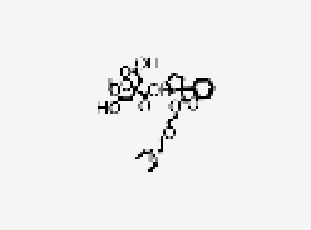 CCN(CC)CCOCCOC(=O)C1(c2ccccc2)CCCC1.O=C(O)CC(O)(CC(=O)O)C(=O)O